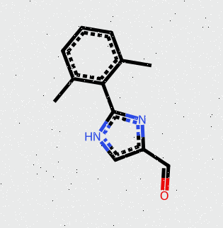 Cc1cccc(C)c1-c1nc(C=O)c[nH]1